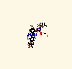 CO[C@@H]1CN(S(C)(=O)=O)C[C@H]1Oc1cc(F)ccc1Nc1ncnc2cc(N=S(C)(C)=O)cc(C)c12